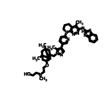 Cc1c(Nc2nc3ccccc3s2)nnc2c1CCCN2c1ccc(-c2cnn(CC34CC5(C)CC(C)(C3)CC(OCCN(C)CCO)(C5)C4)c2C)cn1